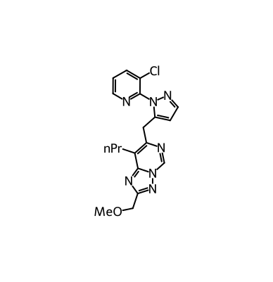 CCCc1c(Cc2ccnn2-c2ncccc2Cl)ncn2nc(COC)nc12